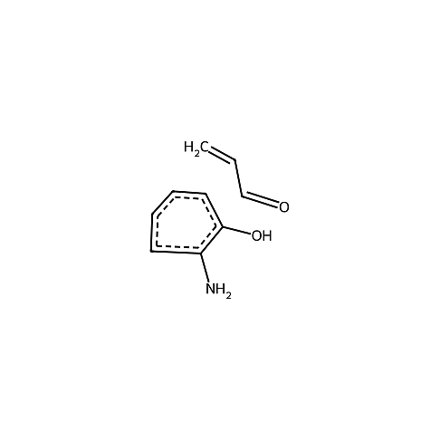 C=CC=O.Nc1ccccc1O